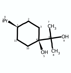 CC(C)[C@H]1CC[C@](O)(C(C)(C)O)CC1